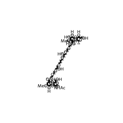 CO[C@H]1CC(C(=O)NCCOCCOCC(O)COCCCCOCC(O)COCCOCCNC(=O)C2O[C@@H](O[C@@H]3C(NC(C)=O)[C@H](C)OC(CO)[C@H]3O)C(O)[C@@H](O)[C@@H]2OC)O[C@@H](O[C@@H]2C(NC(C)=O)[C@H](C)OC(CO)[C@H]2O)C1O